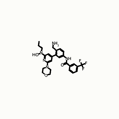 CCCN(O)c1cc(-c2cc(NC(=O)c3cccc(C(F)(F)F)c3)ccc2CN)cc(N2CCOCC2)n1